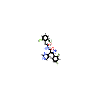 O=C(Cc1c(F)cccc1Cl)Nc1onc(-c2ccc(F)cc2F)c1-c1ccncn1